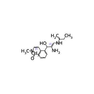 C=C(CC)N/C=C(\N)C(O)c1cccc(C=O)c1/C=C\N(C)C